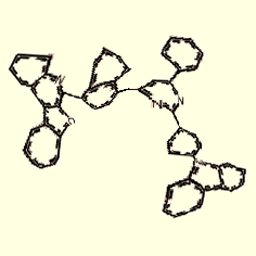 c1ccc(-c2cc(-c3ccc(-c4nc5ccccc5c5c4oc4ccccc45)c4ccccc34)nc(-c3ccc(-n4c5ccccc5c5ccccc54)cc3)n2)cc1